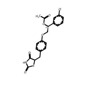 CC(=O)O[C@H](COc1ccc(CC2SC(=O)NC2=O)cc1)c1cccc(Cl)c1